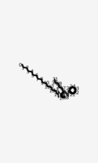 CCCCCCCCCCCCCCCC[n+]1ccn(-c2ccccc2)c1CCCCC